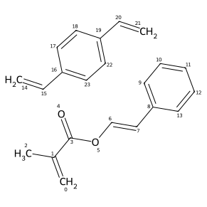 C=C(C)C(=O)OC=Cc1ccccc1.C=Cc1ccc(C=C)cc1